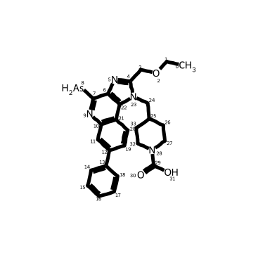 CCOCc1nc2c([AsH2])nc3cc(-c4ccccc4)ccc3c2n1CC1CCN(C(=O)O)CC1